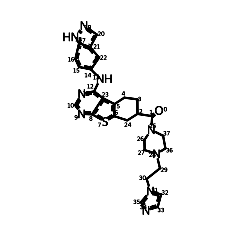 O=C(C1CCc2c(sc3ncnc(Nc4ccc5[nH]ncc5c4)c23)C1)N1CCN(CCn2ccnc2)CC1